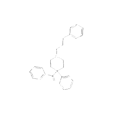 O=C(c1ccccc1)C1(c2ccccc2)CCN(CCCc2ccccc2)CC1